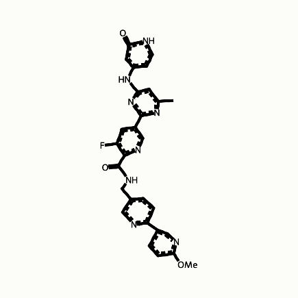 COc1ccc(-c2ccc(CNC(=O)c3ncc(-c4nc(C)cc(Nc5cc[nH]c(=O)c5)n4)cc3F)cn2)cn1